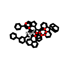 C1=CC(C2C=Cc3cccc(-c4nc(-c5ccccc5)nc(-c5cccc(-c6ccccc6)c5)n4)c32)C(c2cccc3c2-c2c(-c4cccc(-c5cccc6cccc(-c7nc(-c8ccccc8)nc(-c8cccc(-c9ccccc9)c8)n7)c56)c4)cccc2C32C3CC4CC(C3)CC2C4)=C1